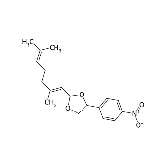 CC(C)=CCC/C(C)=C/C1OCC(c2ccc([N+](=O)[O-])cc2)O1